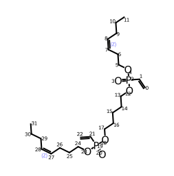 C=CP(=O)(OCC/C=C\CCC)OCCCCCOP(=O)(C=C)OCCC/C=C\CCC